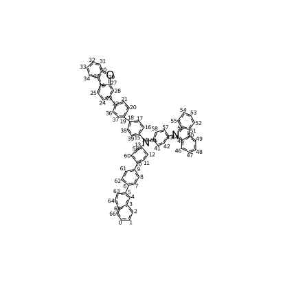 c1ccc2cc(-c3ccc(-c4ccc(N(c5ccc(-c6ccc(-c7ccc8c(c7)oc7ccccc78)cc6)cc5)c5ccc(-n6c7ccccc7c7ccccc76)cc5)cc4)cc3)ccc2c1